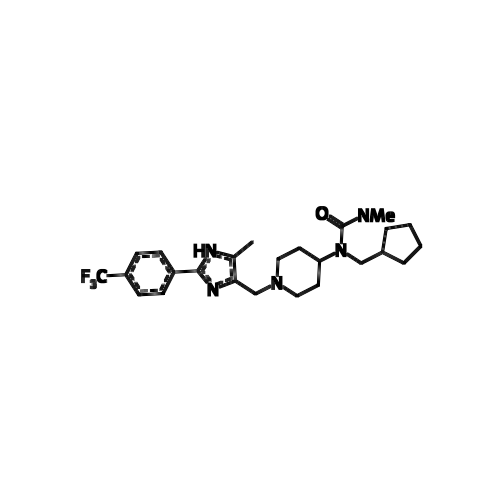 CNC(=O)N(CC1CCCC1)C1CCN(Cc2nc(-c3ccc(C(F)(F)F)cc3)[nH]c2C)CC1